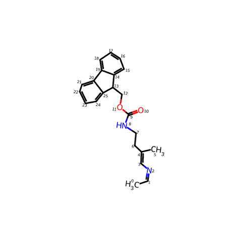 C/C=N\C=C(/C)CCNC(=O)OCC1c2ccccc2-c2ccccc21